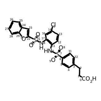 O=C(O)CCc1ccc(S(=O)(=O)Nc2ccc(Cl)cc2NS(=O)(=O)c2cc3ccccc3o2)cc1